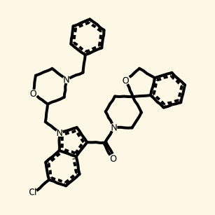 O=C(c1cn(CC2CN(Cc3ccccc3)CCO2)c2cc(Cl)ccc12)N1CCC2(CC1)OCc1ccccc12